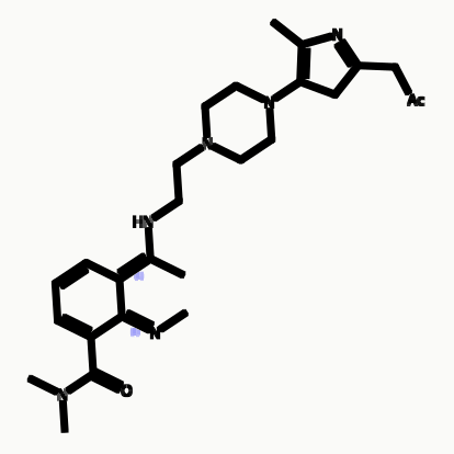 C/N=C1/C(C(=O)N(C)C)=CC=C/C1=C(/C)NCCN1CCN(C2=C(C)N=C(CC(C)=O)C2)CC1